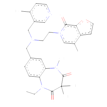 CCN1C(=O)C(C)(C)C(=O)N(C)c2cc(CN(CCn3cc(C)c4ccoc4c3=O)Cc3cnccc3C)ccc21